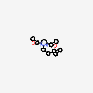 C1=C(c2ccc3oc4ccccc4c3c2)/N=C(c2cccc(-c3cccc(-c4ccc5c6c(cccc46)-c4ccccc4-5)c3)c2)\N=C(\c2ccc3oc4ccccc4c3c2)CCC\1